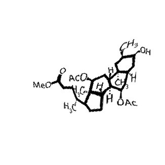 COC(=O)CC[C@@H](C)C1CC[C@H]2[C@@H]3[C@H](OC(C)=O)C[C@@H]4C[C@H](O)[C@H](C)C[C@]4(C)[C@H]3C[C@H](OC(C)=O)[C@]12C